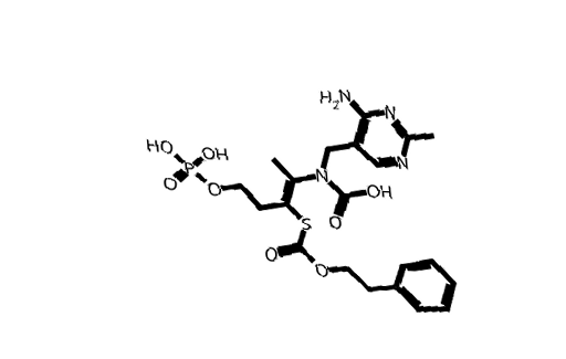 C/C(=C(\CCOP(=O)(O)O)SC(=O)OCCc1ccccc1)N(Cc1cnc(C)nc1N)C(=O)O